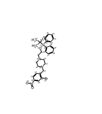 CC(C)(C)[Si](OCCN1CCN(Cc2ccc([N+](=O)[O-])cc2Br)CC1)(c1ccccc1)c1ccccc1